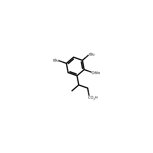 COc1c(C(C)CC(=O)O)cc(C(C)(C)C)cc1C(C)(C)C